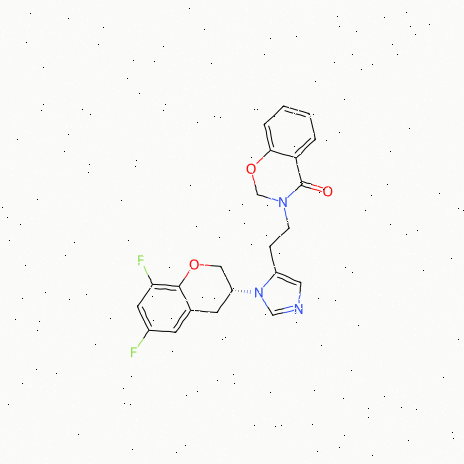 O=C1c2ccccc2OCN1CCc1cncn1[C@H]1COc2c(F)cc(F)cc2C1